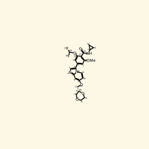 COc1cc(-c2cnc3cc(OC[C@H]4COCCO4)ccn23)cc(OC(F)F)c1C(=O)NC1CC1